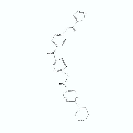 O=C(Nc1ccc(C(=O)c2ccc(NC(=O)c3cccs3)cc2)cc1)c1ccc(N2CCOCC2)cc1